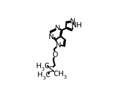 CS(C)(C)CCOCn1ccc2c(-c3cn[nH]c3)ncnc21